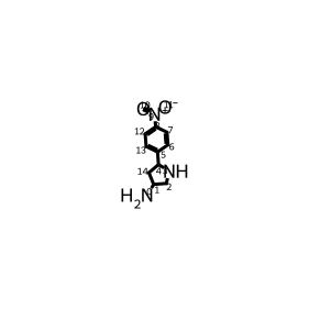 NC1CNC(c2ccc([N+](=O)[O-])cc2)C1